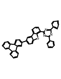 c1ccc(-c2nc(-c3ccccc3)nc(-c3cccc4c3sc3ccc(-c5ccc6c7ccccc7c7ccccc7c6c5)cc34)n2)cc1